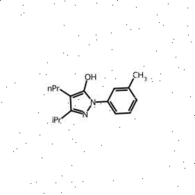 CCCc1c(C(C)C)nn(-c2cccc(C)c2)c1O